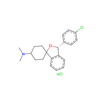 CN(C)C1CCC2(CC1)O[C@H](c1ccc(Cl)cc1)c1ccccc12.Cl